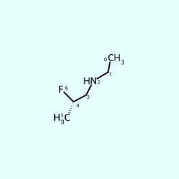 CCNC[C@H](C)F